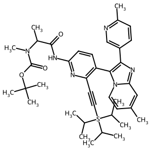 Cc1ccn2c(-c3ccc(NC(=O)C(C)N(C)C(=O)OC(C)(C)C)nc3C#CS(C(C)C)(C(C)C)C(C)C)c(-c3ccc(C)nc3)nc2c1